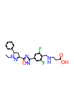 CCN1N=C(c2nc(-c3cc(F)c(CNCCC(=O)O)c(F)c3)no2)CC1c1ccccc1